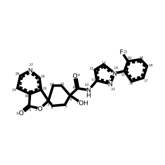 O=C1OC2(CCC(O)(C(=O)Nc3ccn(-c4ccccc4F)n3)CC2)c2cnccc21